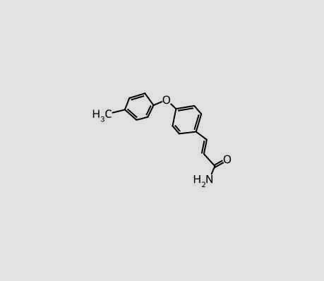 Cc1ccc(Oc2ccc(C=CC(N)=O)cc2)cc1